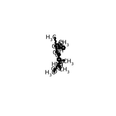 CCCCCC(C(=O)NCNC(=O)c1ccc(-c2ccc(C(=O)NC(CCC(=O)OC)C(=O)OC)c(OCC)c2)o1)[C@@H](CC)N(C=O)OCc1ccccc1